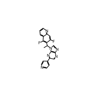 CC(c1c(F)cc2ncccc2c1F)n1cnc2ncc(-c3ccncc3)nc21